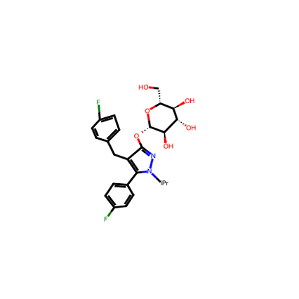 CC(C)n1nc(O[C@@H]2O[C@H](CO)[C@@H](O)[C@H](O)[C@H]2O)c(Cc2ccc(F)cc2)c1-c1ccc(F)cc1